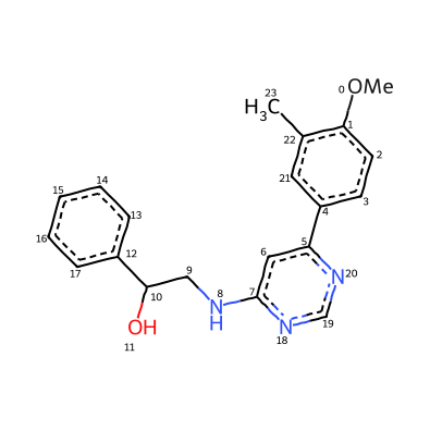 COc1ccc(-c2cc(NCC(O)c3ccccc3)ncn2)cc1C